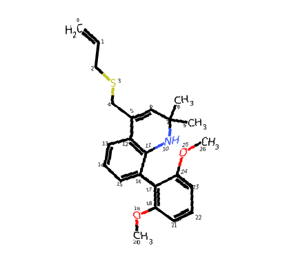 C=CCSCC1=CC(C)(C)Nc2c1cccc2-c1c(OC)cccc1OC